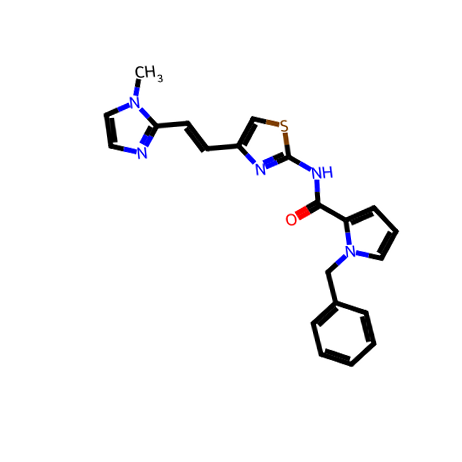 Cn1ccnc1/C=C/c1csc(NC(=O)c2cccn2Cc2ccccc2)n1